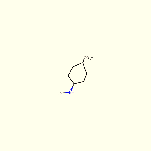 CCN[C@H]1CC[C@@H](C(=O)O)CC1